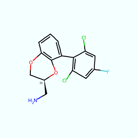 NC[C@H]1COc2cccc(-c3c(Cl)cc(F)cc3Cl)c2O1